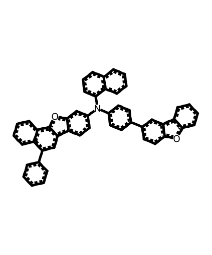 c1ccc(-c2cc3c4ccc(N(c5ccc(-c6ccc7oc8ccccc8c7c6)cc5)c5cccc6ccccc56)cc4oc3c3ccccc23)cc1